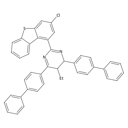 CCC1C(c2ccc(-c3ccccc3)cc2)=NC(c2cc(Cl)cc3sc4ccccc4c23)=NC1c1ccc(-c2ccccc2)cc1